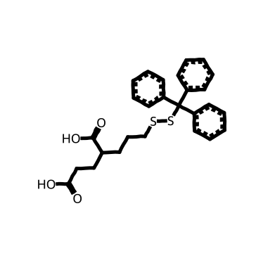 O=C(O)CCC(CCCSSC(c1ccccc1)(c1ccccc1)c1ccccc1)C(=O)O